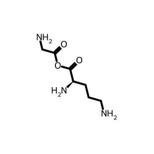 NCCC[C@@H](N)C(=O)OC(=O)CN